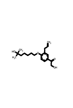 C=CCc1cc(C(=O)CO)ccc1OCCCCCC(C)(C)O